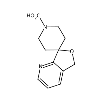 O=C(O)N1CCC2(CC1)OCc1cccnc12